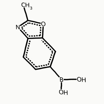 Cc1nc2ccc(B(O)O)cc2o1